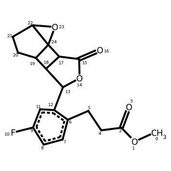 COC(=O)CCc1ccc(F)cc1C1OC(=O)C2C1C1CCC3OC312